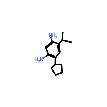 CC(C)c1cc(C2CCCC2)c(N)cc1N